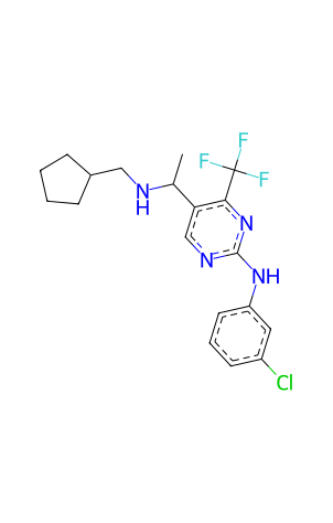 CC(NCC1CCCC1)c1cnc(Nc2cccc(Cl)c2)nc1C(F)(F)F